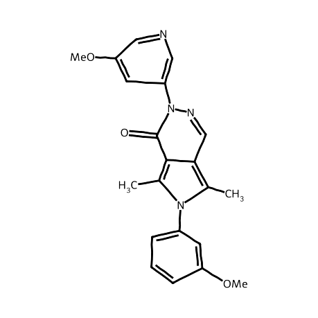 COc1cccc(-n2c(C)c3cnn(-c4cncc(OC)c4)c(=O)c3c2C)c1